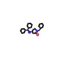 O=c1cc(N=C(c2ccccc2)c2ccccc2)ccn1Cc1ccccc1